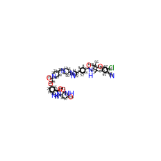 CC1(C)[C@H](NC(=O)c2ccc(-c3cnn(C4CCN(CC5CCN(C(=O)COc6ccc7nnn(C8CCC(=O)NC8=O)c(=O)c7c6)CC5)CC4)c3)cc2)C(C)(C)[C@H]1Oc1ccc(C#N)c(Cl)c1